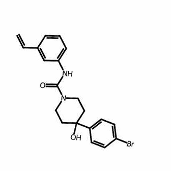 C=Cc1cccc(NC(=O)N2CCC(O)(c3ccc(Br)cc3)CC2)c1